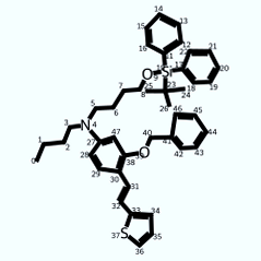 CCCCN(CCCCO[Si](c1ccccc1)(c1ccccc1)C(C)(C)C)c1ccc(C=Cc2cccs2)c(OCc2ccccc2)c1